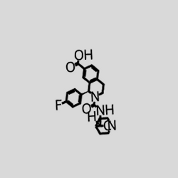 O=C(O)c1ccc2c(c1)[C@H](c1ccc(F)cc1)N(C(=O)N[C@@H]1CN3CCC1CC3)CC2